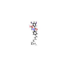 CCCCCCCc1ccc(NC(=O)c2cc(I)cc(I)c2O)cc1